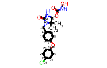 CC1(C)[C@@H](OC(=O)NO)NC(=O)N1Cc1ccc(Oc2ccc(Cl)cc2)cc1